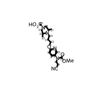 COC(=O)N(CCC#N)c1ccc(OCCCN2C(C)CN(C(=O)O)CC2C)nc1